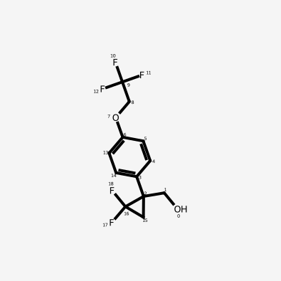 OCC1(c2ccc(OCC(F)(F)F)cc2)CC1(F)F